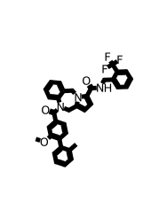 COc1cc(C(=O)N2Cc3ccc(C(=O)NCc4ccccc4C(F)(F)F)n3Cc3ccccc32)ccc1-c1ccccc1C